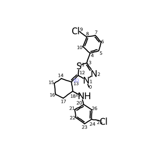 CN1N=C(c2cccc(Cl)c2)S/C1=C1\CCCCC1Nc1cccc(Cl)c1